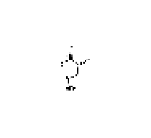 C=C(C)C(=C)CCCCC